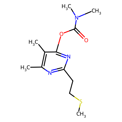 CSCCc1nc(C)c(C)c(OC(=O)N(C)C)n1